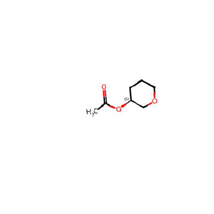 CC(=O)O[C@H]1CCCOC1